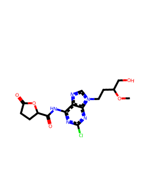 COC(CO)CCn1cnc2c(NC(=O)C3CCC(=O)O3)nc(Cl)nc21